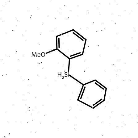 COc1ccccc1[SiH2]c1ccccc1